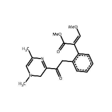 COC=C(C(=O)OC)c1ccccc1CC(=O)C1=NC(C)=CN(C)C1